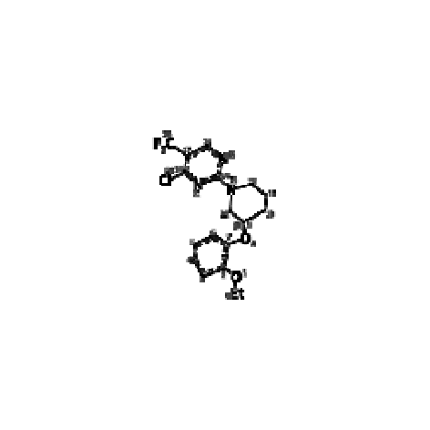 CCOc1ccccc1O[C@@H]1CCCN(c2ncc(C(F)(F)F)c(Cl)n2)C1